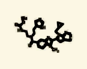 Cn1c(-c2cc3cccnc3n2CC2CC2)nc2cc(C(=O)N(CCNC(=O)OC(C)(C)C)CCc3cnc[nH]3)ccc21